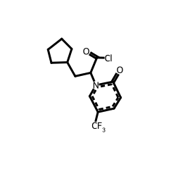 O=C(Cl)C(CC1CCCC1)n1cc(C(F)(F)F)ccc1=O